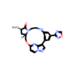 CO[C@@H]1C[C@H]2COc3ccn4ncc(c4n3)-c3cc(cc(-c4ncon4)c3)NCCN2C1=O